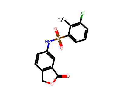 Cc1c(Cl)cccc1S(=O)(=O)Nc1ccc2c(c1)C(=O)OC2